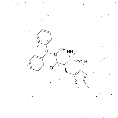 Cc1ccc(C[C@@H](C(=O)N(O)C(c2ccccc2)c2ccccc2)[C@H](N)C(=O)O)s1